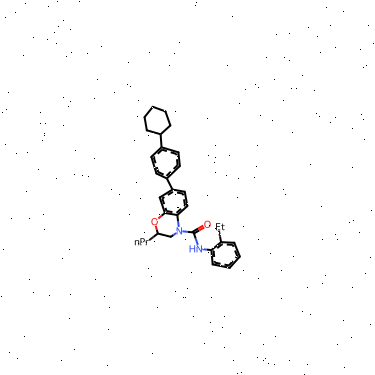 CCCC1CN(C(=O)Nc2ccccc2CC)c2ccc(-c3ccc(C4CCCCC4)cc3)cc2O1